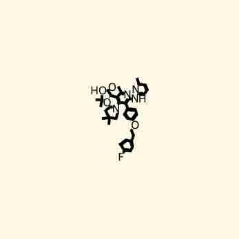 Cc1cccc(Nc2nc(C)c([C@H](OC(C)(C)C)C(=O)O)c(N3CCC(C)(C)CC3)c2-c2ccc(OCCc3ccc(F)cc3)cc2)n1